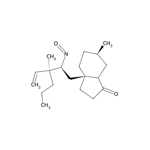 C=C[C@](C)(CCC)[C@H](C[C@]12CCC(=O)C1C[C@H](C)CC2)N=O